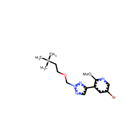 COc1ncc(Br)cc1-c1cnn(COCC[Si](C)(C)C)n1